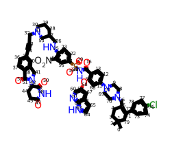 CC1(C)CCC(CN2CCN(c3ccc(C(=O)NS(=O)(=O)c4ccc(NCC5CCCN(CC#Cc6ccc7c(c6)CN(C6CCC(=O)NC6=O)C7=O)C5)c([N+](=O)[O-])c4)c(Oc4cnc5[nH]ccc5c4)c3)CC2)=C(c2ccc(Cl)cc2)C1